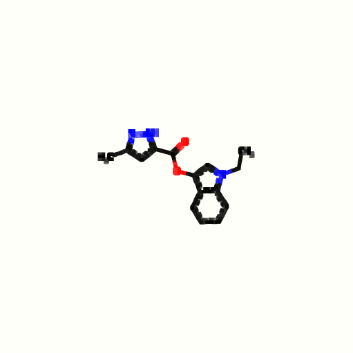 CCn1cc(OC(=O)c2cc(C)n[nH]2)c2ccccc21